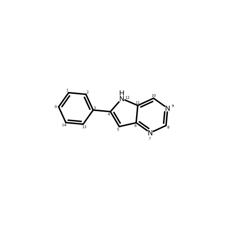 c1ccc(-c2cc3ncncc3[nH]2)cc1